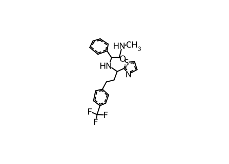 CNC(=O)C(NC(CCc1ccc(C(F)(F)F)cc1)c1nccs1)c1ccccc1